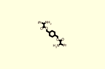 CC(C)C(N)C(=O)OCC1CCC(COC(=O)C(N)C(C)C)CC1